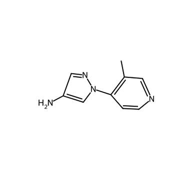 Cc1cnccc1-n1cc(N)cn1